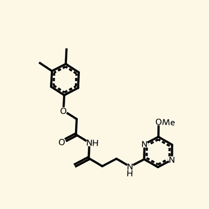 C=C(CCNc1cncc(OC)n1)NC(=O)COc1ccc(C)c(C)c1